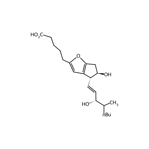 CCCCC(C)[C@H](O)/C=C/[C@@H]1c2cc(CCCCC(=O)O)oc2C[C@H]1O